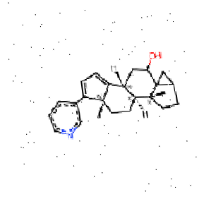 C[C@]12CC[C@H]3[C@@H](CC(O)C45CC4CC[C@]35C)C1=CC=C2c1cccnc1